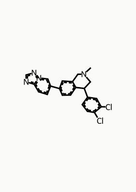 CN1Cc2cc(-c3ccc4ncnn4c3)ccc2C(c2ccc(Cl)c(Cl)c2)C1